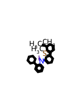 CC(C)(C)C1CC=Cc2c1sc1c2CCC=C1N(I)c1ccccc1C1CCCCC1